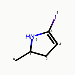 CC1CC=C(I)N1